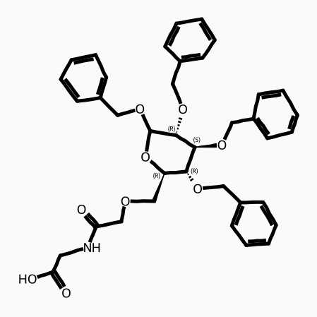 O=C(O)CNC(=O)COC[C@H]1OC(OCc2ccccc2)[C@H](OCc2ccccc2)[C@@H](OCc2ccccc2)[C@@H]1OCc1ccccc1